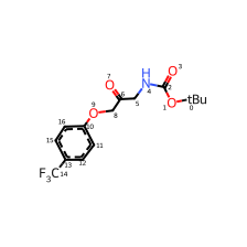 CC(C)(C)OC(=O)NCC(=O)COc1ccc(C(F)(F)F)cc1